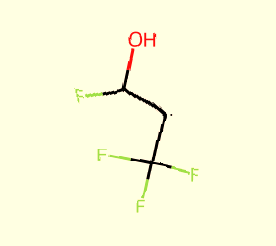 OC(F)[CH]C(F)(F)F